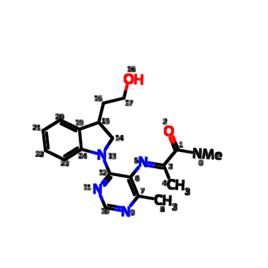 CNC(=O)/C(C)=N/c1c(C)ncnc1N1CC(CCO)c2ccccc21